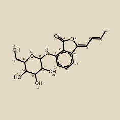 C/C=C/C=C1\OC(=O)c2c(OC3OC(CO)C(O)C(O)C3O)cccc21